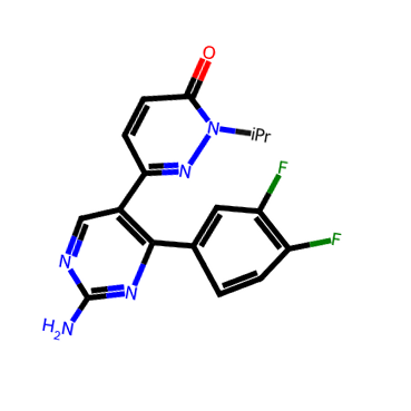 CC(C)n1nc(-c2cnc(N)nc2-c2ccc(F)c(F)c2)ccc1=O